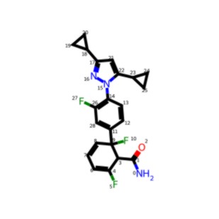 NC(=O)C1C(F)=CC=CC1(F)c1ccc(-n2nc(C3CC3)cc2C2CC2)c(F)c1